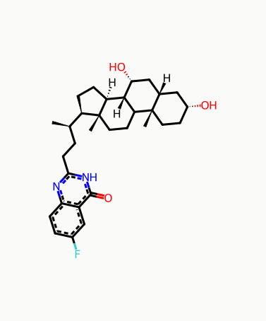 C[C@H](CCc1nc2ccc(F)cc2c(=O)[nH]1)[C@H]1CC[C@H]2[C@H]3C(CC[C@]12C)[C@@]1(C)CC[C@@H](O)C[C@H]1C[C@H]3O